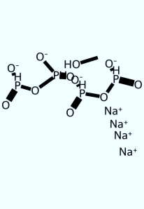 CO.O=[PH]([O-])O[PH](=O)[O-].O=[PH]([O-])O[PH](=O)[O-].[Na+].[Na+].[Na+].[Na+]